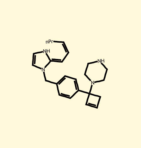 CCC/C=C\C=C1/NC=CN1Cc1ccc(C2(N3CCNCC3)C=CC2)cc1